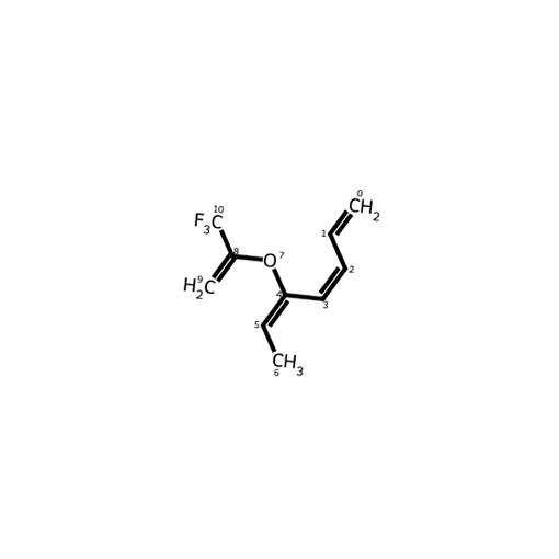 C=C/C=C\C(=C/C)OC(=C)C(F)(F)F